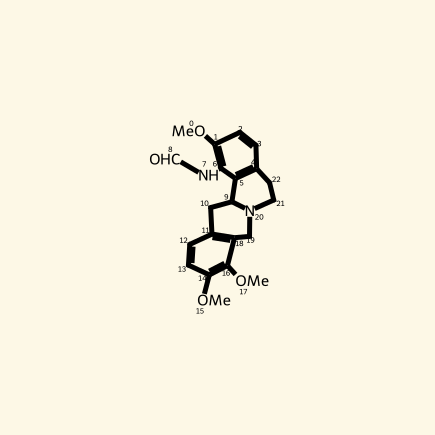 COc1ccc2c(c1NC=O)C1Cc3ccc(OC)c(OC)c3CN1CC2